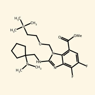 COC(=O)c1cc(F)c(F)c2nc(NCC3(N(C)C)CCCC3)n(COCC[Si](C)(C)C)c12